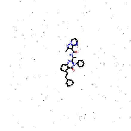 Cc1nn2cccnc2c1C(=O)NC(C)c1nc2cccc(/C=C/c3ccccc3)c2c(=O)n1-c1ccccc1